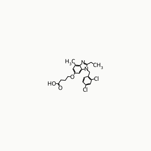 CCc1nc2c(C)cc(OCCCC(=O)O)cc2n1Cc1ccc(Cl)cc1Cl